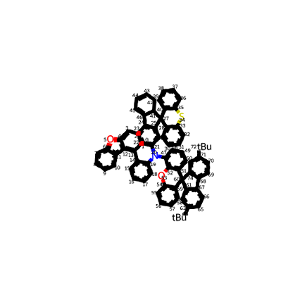 CC1CC=c2oc3ccccc3c2=C1c1ccccc1N(c1ccc2c(c1)C1(c3ccccc3Sc3ccccc31)C1CC=CC=C21)c1cccc2c1Oc1ccccc1C21c2cc(C(C)(C)C)ccc2-c2ccc(C(C)(C)C)cc21